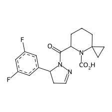 O=C(C1CCCC2(CC2)N1C(=O)O)N1N=CCC1c1cc(F)cc(F)c1